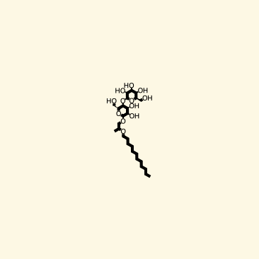 CCCCCCCCCCCCOC(C)CO[C@H]1O[C@H](CO)[C@@H](O[C@@H]2O[C@H](CO)[C@H](O)[C@H](O)[C@H]2O)[C@H](O)[C@H]1O